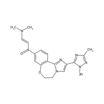 Cc1nc(-c2cn3c(n2)-c2ccc(C(=O)/C=C/N(C)C)cc2OCC3)n(C(C)C)n1